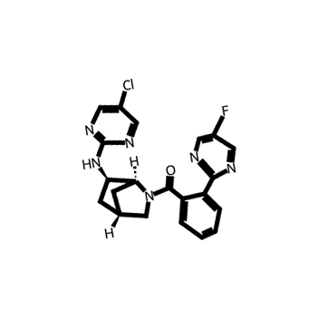 O=C(c1ccccc1-c1ncc(F)cn1)N1C[C@@H]2C[C@@H](Nc3ncc(Cl)cn3)[C@@H]1C2